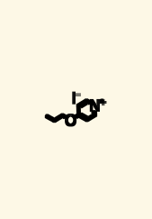 CCCOc1cc[n+](C)cc1.[I-]